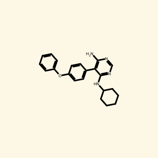 Nc1ncnc(NC2CCCCC2)c1-c1ccc(Oc2ccccc2)cc1